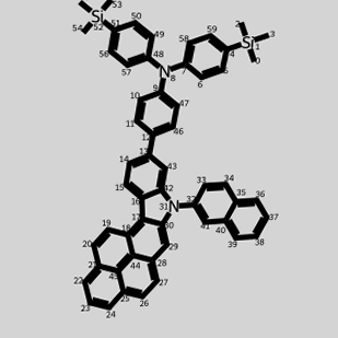 C[Si](C)(C)c1ccc(N(c2ccc(-c3ccc4c5c6ccc7cccc8ccc(cc5n(-c5ccc9ccccc9c5)c4c3)c6c87)cc2)c2ccc([Si](C)(C)C)cc2)cc1